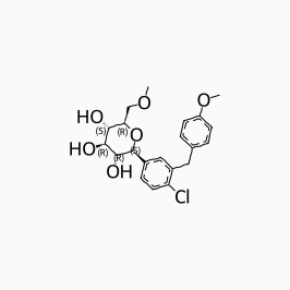 COC[C@H]1O[C@@H](c2ccc(Cl)c(Cc3ccc(OC)cc3)c2)[C@H](O)[C@@H](O)[C@@H]1O